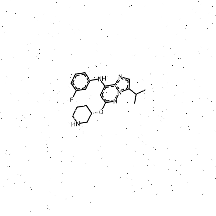 CC(C)c1cnc2c(Nc3cccc(F)c3)cc(O[C@H]3CCCNC3)nn12